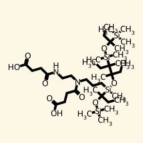 CCC(C)(O[Si](C)(CCCN(CCNC(=O)CCC(=O)O)C(=O)CCC(=O)O)C(C)(CC)O[Si](C)(C)C)C(C)(CC)[Si](C)(C)OC(C)(CC)[Si](C)(C)C